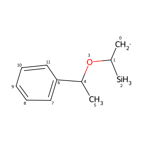 [CH2]C([SiH3])OC(C)c1ccccc1